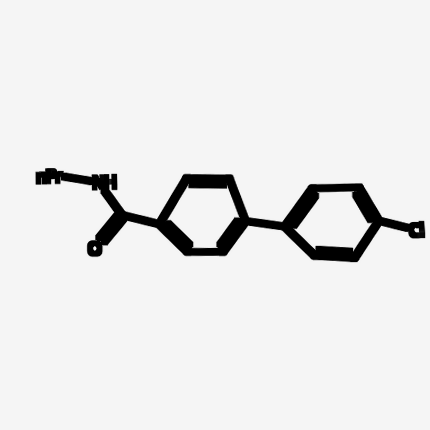 CCCNC(=O)c1ccc(-c2ccc(Cl)cc2)cc1